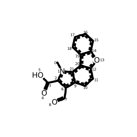 Cn1c(C(=O)O)c(C=O)c2ccc3oc4ccccc4c3c21